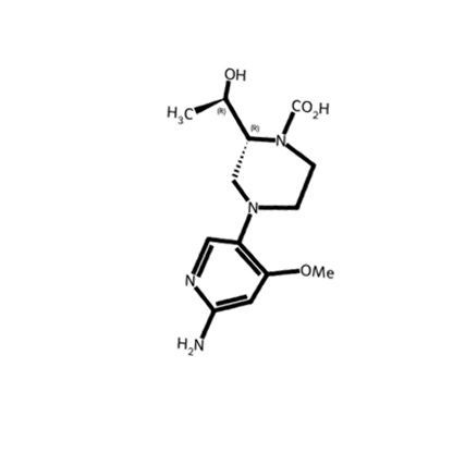 COc1cc(N)ncc1N1CCN(C(=O)O)[C@@H]([C@@H](C)O)C1